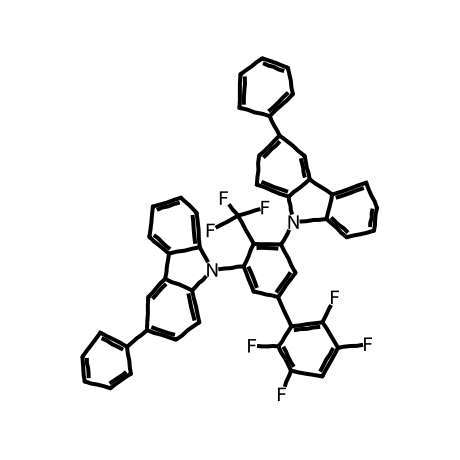 Fc1cc(F)c(F)c(-c2cc(-n3c4ccccc4c4cc(-c5ccccc5)ccc43)c(C(F)(F)F)c(-n3c4ccccc4c4cc(-c5ccccc5)ccc43)c2)c1F